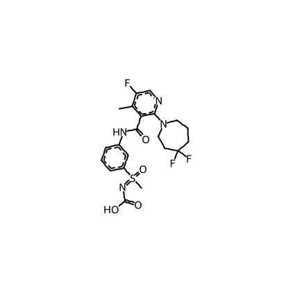 Cc1c(F)cnc(N2CCCC(F)(F)CC2)c1C(=O)Nc1cccc(S(C)(=O)=NC(=O)O)c1